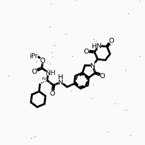 CC(C)OC(=O)N[C@@H](CC1CCCCC1)C(=O)NCc1ccc2c(c1)CN(C1CCC(=O)NC1=O)C2=O